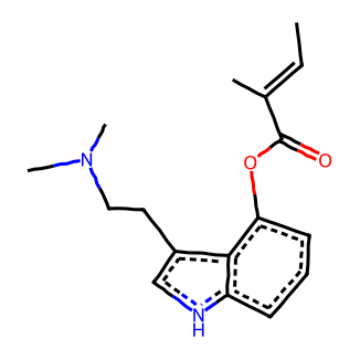 C/C=C(\C)C(=O)Oc1cccc2[nH]cc(CCN(C)C)c12